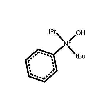 CC(C)[N+](O)(c1ccccc1)C(C)(C)C